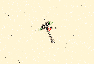 CCCCCCC1(CC(=O)CCCCCCCCC(C)=O)c2cc(Br)ccc2-c2ccc(Br)cc21